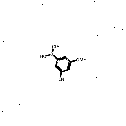 COc1cc(C#N)cc(B(O)O)c1